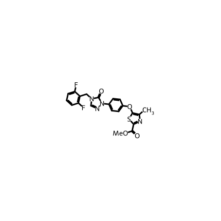 COC(=O)c1nc(C)c(Oc2ccc(-n3ncn(Cc4c(F)cccc4F)c3=O)cc2)s1